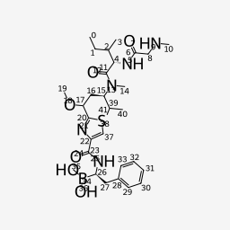 CCC(C)[C@H](NC(=O)CNC)C(=O)N(C)[C@H](CC(OC)c1nc(C(=O)N[C@@H](Cc2ccccc2)B(O)O)cs1)C(C)C